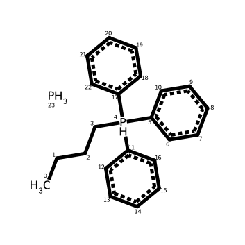 CCCC[PH](c1ccccc1)(c1ccccc1)c1ccccc1.P